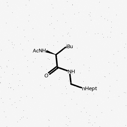 CCCCCCCCNC(=O)[C@@H](NC(C)=O)C(C)CC